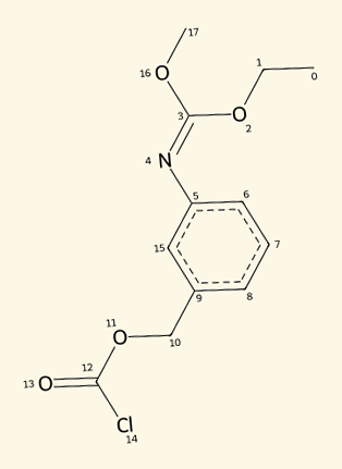 CCOC(=Nc1cccc(COC(=O)Cl)c1)OC